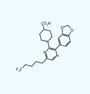 O=C(O)C1CCN(c2nc(CCCCC(F)(F)F)cnc2-c2ccc3c(c2)OCO3)CC1